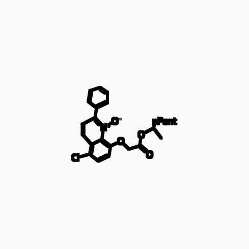 CCCCCC(C)OC(=O)COc1ccc(Cl)c2ccc(-c3ccccc3)[n+]([O-])c12